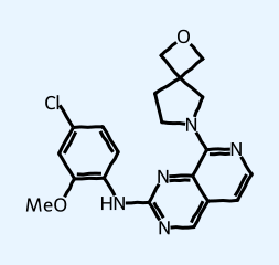 COc1cc(Cl)ccc1Nc1ncc2ccnc(N3CCC4(COC4)C3)c2n1